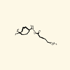 CCCCC(=O)ONC1CCC(F)(F)CC1